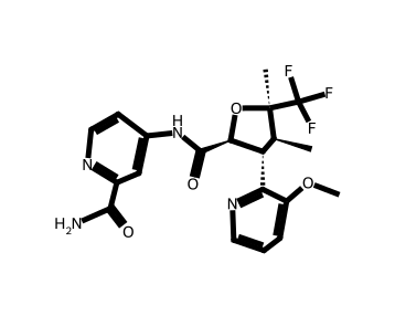 COc1cccnc1[C@@H]1[C@@H](C(=O)Nc2ccnc(C(N)=O)c2)O[C@@](C)(C(F)(F)F)[C@H]1C